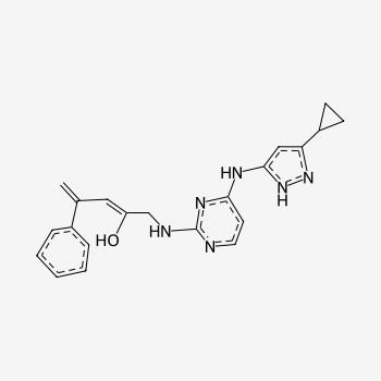 C=C(/C=C(\O)CNc1nccc(Nc2cc(C3CC3)n[nH]2)n1)c1ccccc1